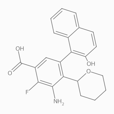 Nc1c(F)c(C(=O)O)cc(-c2c(O)ccc3ccccc23)c1C1CCCCO1